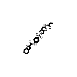 C=CC(=O)NC1CC2CN(S(=O)(=O)c3ccc(NC(=O)c4cc5c(s4)CCCC5)cc3)CC2O1